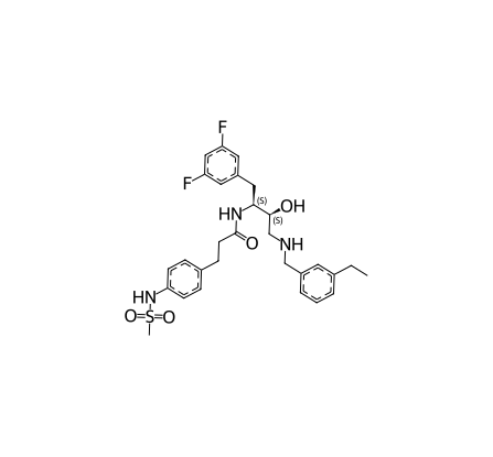 CCc1cccc(CNC[C@H](O)[C@H](Cc2cc(F)cc(F)c2)NC(=O)CCc2ccc(NS(C)(=O)=O)cc2)c1